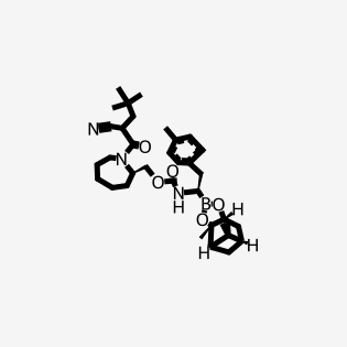 Cc1ccc(C[C@H](NC(=O)OC[C@H]2CCCCCN2C(=O)C(C#N)CC(C)(C)C)B2O[C@@H]3C[C@@H]4C[C@@H](C4(C)C)[C@]3(C)O2)cc1